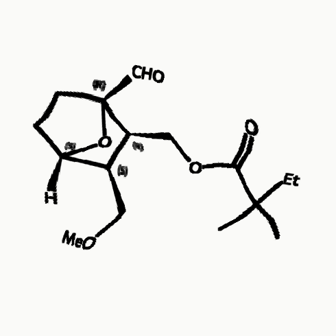 CCC(C)(C)C(=O)OC[C@H]1[C@@H](COC)[C@@H]2CC[C@@]1(C=O)O2